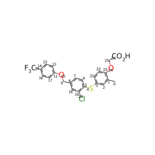 Cc1cc(Sc2ccc(COc3ccc(C(F)(F)F)cc3)cc2Cl)ccc1OCC(=O)O